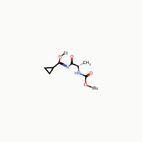 CCOC(=NC(=O)[C@H](C)NC(=O)OC(C)(C)C)C1CC1